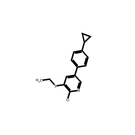 CCSc1cc(-c2ccc(C3CC3)cc2)cnc1Cl